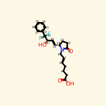 O=C(O)CCCC=CCN1C(=O)CC[C@@H]1C=C[C@@H](O)C(F)(F)c1ccccc1